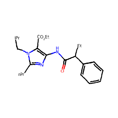 CCCc1nc(NC(=O)C(CC)c2ccccc2)c(C(=O)OCC)n1CC(C)C